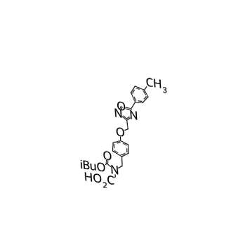 Cc1ccc(-c2nc(COc3ccc(CN(CC(=O)O)C(=O)OCC(C)C)cc3)no2)cc1